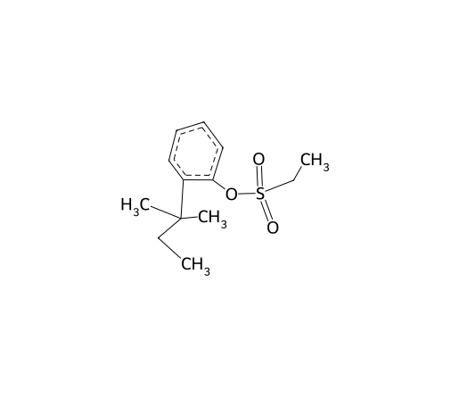 CCC(C)(C)c1ccccc1OS(=O)(=O)CC